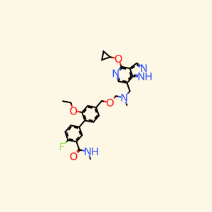 CCOc1cc(COCN(C)Cc2cnc(OC3CC3)c3cn[nH]c23)ccc1-c1ccc(F)c(C(=O)NC)c1